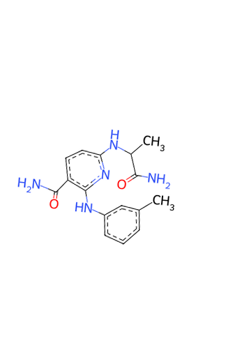 Cc1cccc(Nc2nc(NC(C)C(N)=O)ccc2C(N)=O)c1